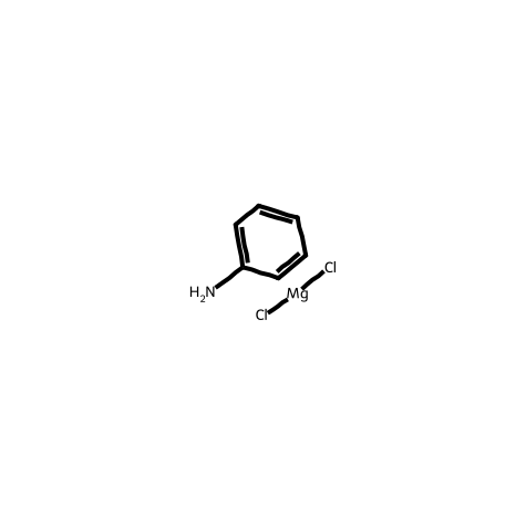 Nc1ccccc1.[Cl][Mg][Cl]